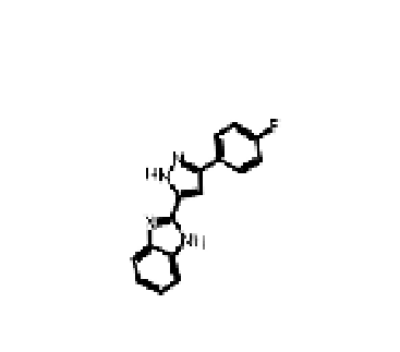 Fc1ccc(-c2cc(-c3nc4ccccc4[nH]3)[nH]n2)cc1